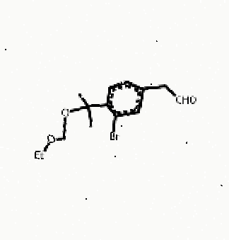 CCOCOC(C)(C)c1ccc(CC=O)cc1Br